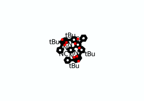 CC(C)(C)c1cccc2c1c1ccccc1n2-c1c(C#N)c(-n2c3ccccc3c3c(C(C)(C)C)cccc32)c(-n2c3ccccc3c3c(C(C)(C)C)cccc32)c(-c2ccc3c(c2)sc2ccccc23)c1-n1c2ccccc2c2c(C(C)(C)C)cccc21